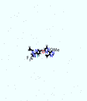 COc1ncnc(C2CC2)c1-c1nc(C)cc(OCc2cnc(-c3nc(C(F)(F)F)cn3CC3CC3)c(F)c2)n1